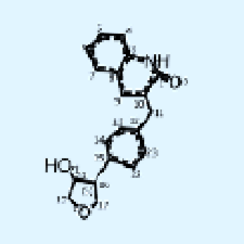 O=c1[nH]c2ccccc2cc1Cc1ccc([C@H]2COCC2O)cc1